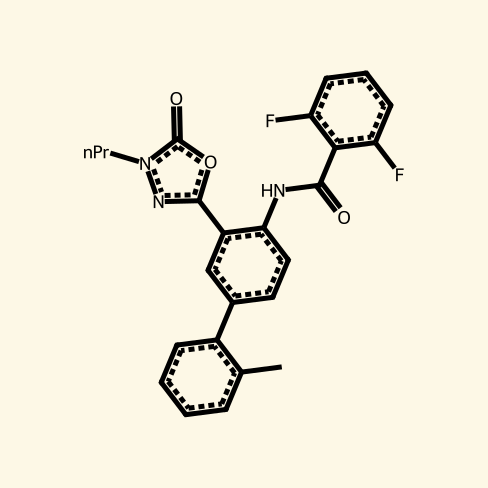 CCCn1nc(-c2cc(-c3ccccc3C)ccc2NC(=O)c2c(F)cccc2F)oc1=O